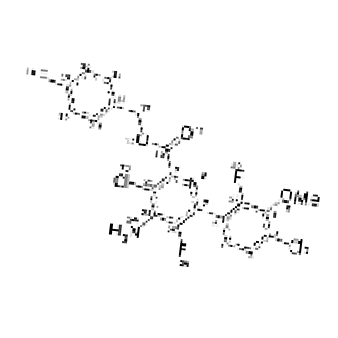 COc1c(Cl)ccc(-c2nc(C(=O)OCc3ccc(F)cc3)c(Cl)c(N)c2F)c1F